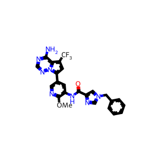 COc1ncc(-c2cc(C(F)(F)F)c3c(N)ncnn23)cc1NC(=O)c1cn(Cc2ccccc2)cn1